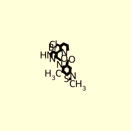 Cc1nc2cc3c(=O)oc(-c4n[nH]c(Br)c4-c4ncccc4Cl)nc3c(C)c2s1